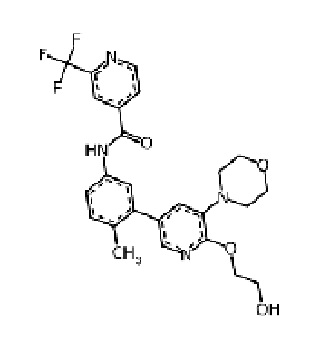 Cc1ccc(NC(=O)c2ccnc(C(F)(F)F)c2)cc1-c1cnc(OCCO)c(N2CCOCC2)c1